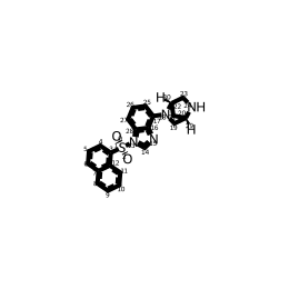 O=S(=O)(c1cccc2ccccc12)n1cnc2c(N3C[C@@H]4C[C@H]3CN4)cccc21